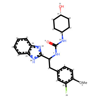 COc1ccc(CC(NC(=O)N[C@H]2CC[C@H](O)CC2)c2nc3ccccc3[nH]2)cc1F